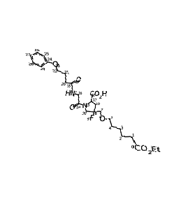 CCOC(=O)CCCCCOCC1(F)CC(C(=O)O)N(C(=O)CNC(=O)CCCOc2ccccc2)C1